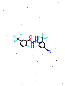 N#Cc1ccc(NNC(=O)c2cc(C(F)(F)F)ccc2F)c(C(F)(F)F)c1